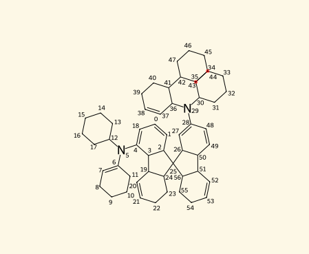 C1=CC2C(C(N(C3=CCCCC3)C3CCCCC3)=C1)C1C=CCCC1C21C2C=C(N(C3CCCCC3)C3C=CCCC3C3CCCCC3)C=CC2C2C=CCCC21